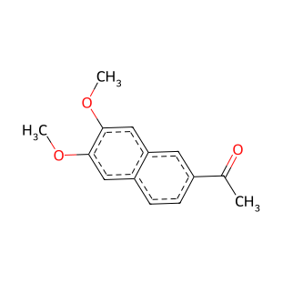 COc1cc2ccc(C(C)=O)cc2cc1OC